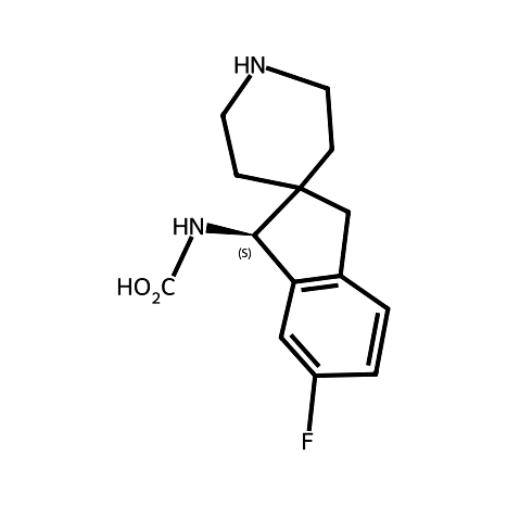 O=C(O)N[C@@H]1c2cc(F)ccc2CC12CCNCC2